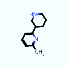 Cc1cccc(C2CCCNC2)n1